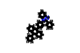 c1c(-c2c3ccccc3c(-c3ccccc3)c3ccccc23)ccc(-n2c(-c3ccccc3)nc3ccccc32)c#1